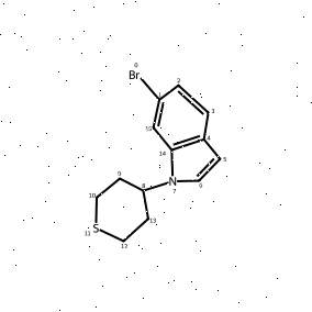 Brc1ccc2ccn(C3CCSCC3)c2c1